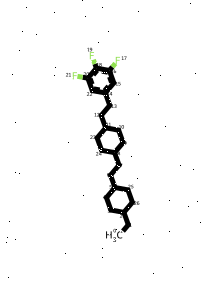 CCC1CCC(CCC2CCC(CCc3cc(F)c(F)c(F)c3)CC2)CC1